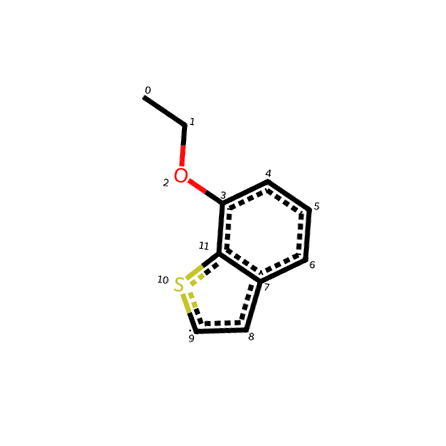 CCOc1cccc2c[c]sc12